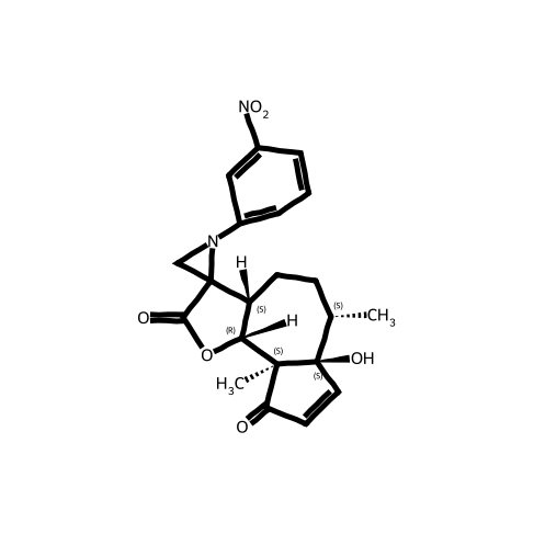 C[C@H]1CC[C@@H]2[C@@H](OC(=O)C23CN3c2cccc([N+](=O)[O-])c2)[C@]2(C)C(=O)C=C[C@@]12O